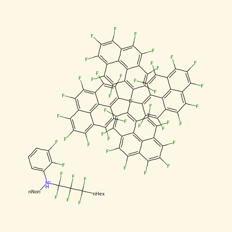 CCCCCCCCC[NH+](c1cccc(F)c1F)C(F)(F)C(F)(F)C(F)(F)CCCCCC.Fc1c(F)c2c(F)c(F)c3c(F)c(F)c([B-](c4c(F)c(F)c5c(F)c(F)c6c(F)c(F)c(F)c7c(F)c(F)c4c5c67)(c4c(F)c(F)c5c(F)c(F)c6c(F)c(F)c(F)c7c(F)c(F)c4c5c67)c4c(F)c(F)c5c(F)c(F)c6c(F)c(F)c(F)c7c(F)c(F)c4c5c67)c4c(F)c(F)c(c1F)c2c34